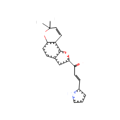 CC1(C)C=Cc2c(ccc3cc(C(=O)/C=C/c4ccc[nH]4)oc23)O1